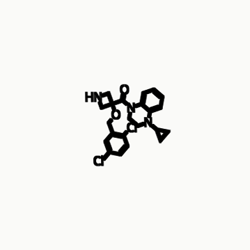 O=C(N1CCN(C2CC2)c2ccccc21)C1(OCc2cc(Cl)ccc2Cl)CNC1